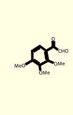 COc1ccc(C(=O)C=O)c(OC)c1OC